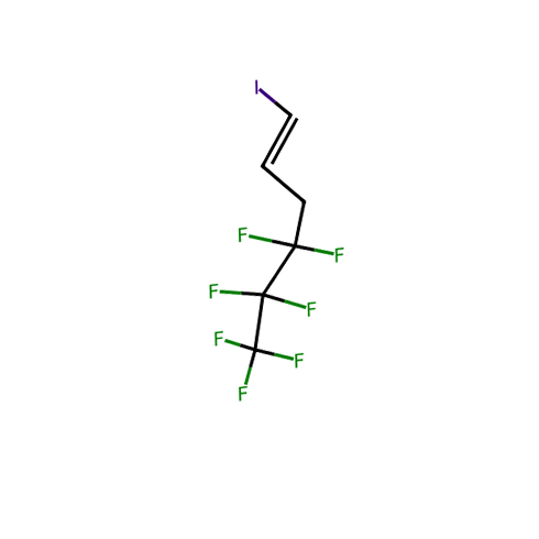 FC(F)(F)C(F)(F)C(F)(F)CC=CI